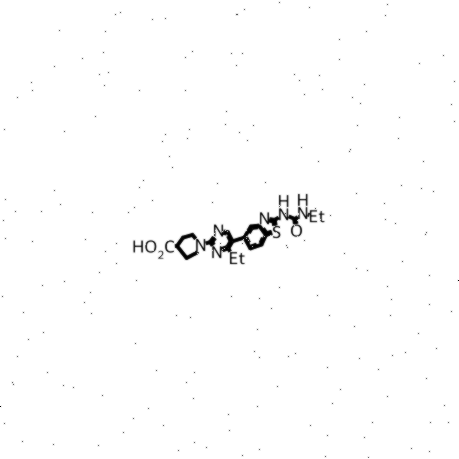 CCNC(=O)Nc1nc2cc(-c3cnc(N4CCC(C(=O)O)CC4)nc3CC)ccc2s1